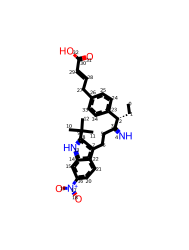 CC[C@H](C(=N)CCc1c(C(C)(C)C)[nH]c2cc([N+](=O)[O-])ccc12)c1ccc(C/C=C/C(=O)O)cc1